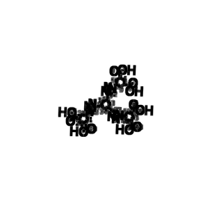 O=C(O)c1cc(C(=O)O)cc(-n2cc(-c3cc(-c4cn(-c5cc(C(=O)O)cc(C(=O)O)c5)nn4)cc(-c4cn(-c5cc(C(=O)O)cc(C(=O)O)c5)nn4)c3)nn2)c1